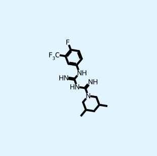 CC1CC(C)CN(C(=N)NC(=N)Nc2ccc(F)c(C(F)(F)F)c2)C1